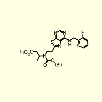 CC(CC(=O)O)N(CCc1nc2c(NCc3ncccc3F)ncnc2s1)C(=O)OC(C)(C)C